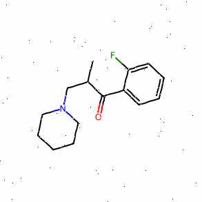 CC(CN1CCCCC1)C(=O)c1ccccc1F